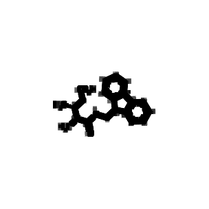 C[C@H](CC(=O)O)N(C)C(=O)OCC1c2ccccc2-c2ccccc21